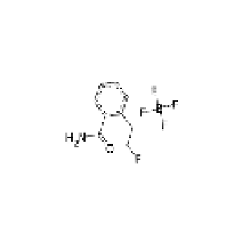 F[B-](F)(F)F.NC(=O)c1ccccc1CCF